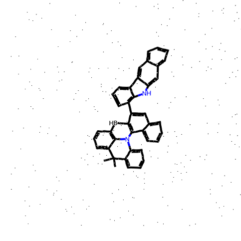 CC1(C)c2ccccc2N2c3c(cccc31)Bc1c(-c3cccc4c3[nH]c3cc5ccccc5cc34)cc3ccccc3c12